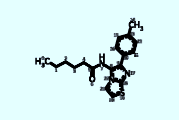 CCCCCC(=O)Nc1c(-c2ccc(C)cc2)nc2sccn12